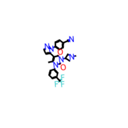 Cc1c(-c2ccnn2-c2ccc(C#N)cc2)c(=O)n(C2CN(C)C2)c(=O)n1-c1cccc(C(F)(F)F)c1